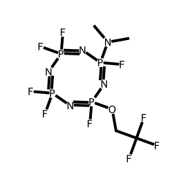 CN(C)P1(F)=NP(F)(OCC(F)(F)F)=NP(F)(F)=NP(F)(F)=N1